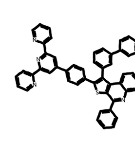 c1ccc(-c2cccc(-c3c(-c4ccc(-c5cc(-c6ccccn6)nc(-c6ccccn6)c5)cc4)sc4c(-c5ccccc5)nc5ccccc5c34)c2)cc1